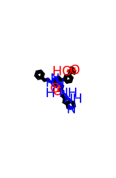 O=C(Cn1c(-c2cccc(C3(O)COC3)c2)cnc(NCCc2ccccc2)c1=O)NCc1cc2cnccc2[nH]1